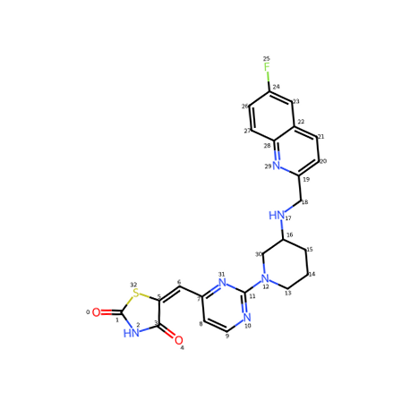 O=C1NC(=O)/C(=C\c2ccnc(N3CCCC(NCc4ccc5cc(F)ccc5n4)C3)n2)S1